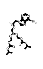 CC(C)OC(=O)OCOB(CO[C@H](C)Cn1cnc2c(N)ncnc21)OCOC(=O)OC(C)C